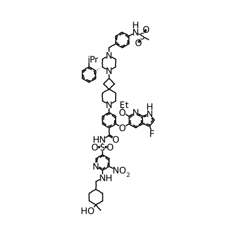 CCOc1nc2[nH]cc(F)c2cc1Oc1cc(N2CCC3(CC2)CC(N2CCN(Cc4ccc(NS(C)(=O)=O)cc4)C[C@H]2c2ccccc2C(C)C)C3)ccc1C(=O)NS(=O)(=O)c1cnc(NCC2CCC(C)(O)CC2)c([N+](=O)[O-])c1